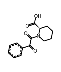 O=C(C(=O)N1CCCC[C@@H]1C(=O)O)c1ccccc1